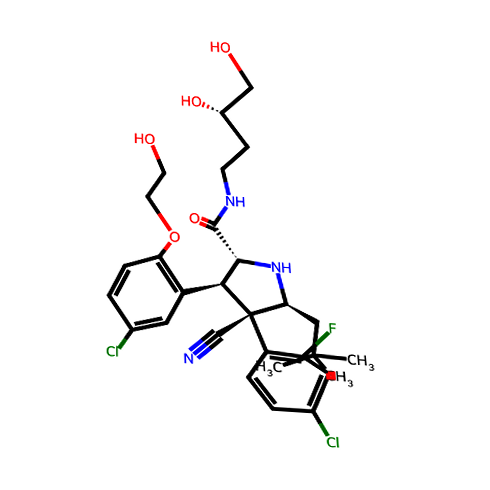 CC(C)(C)C[C@@H]1N[C@@H](C(=O)NCC[C@H](O)CO)[C@H](c2cc(Cl)ccc2OCCO)[C@@]1(C#N)c1ccc(Cl)cc1F